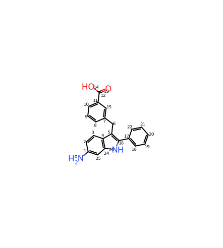 Nc1ccc2c(Cc3cccc(C(=O)O)c3)c(-c3ccccc3)[nH]c2c1